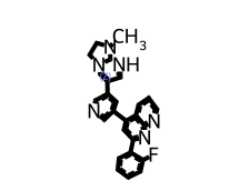 CN1CCN(/C=C(\C=N)c2cncc(-c3cc(-c4ccccc4F)nc4ncccc34)c2)C1